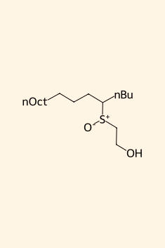 CCCCCCCCCCCC(CCCC)[S+]([O-])CCO